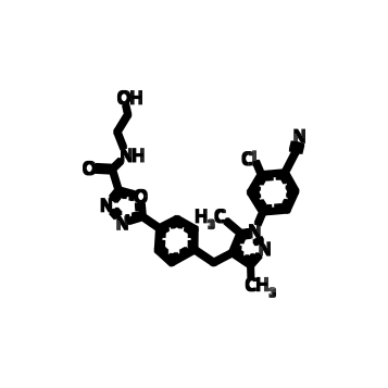 Cc1nn(-c2ccc(C#N)c(Cl)c2)c(C)c1Cc1ccc(-c2nnc(C(=O)NCCO)o2)cc1